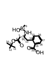 CB(O)N[C@@H](CC(=O)OC(C)(C)C)Cc1ccccc1C(=O)O